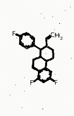 C=CC1CCC2c3cc(F)cc(F)c3CCC2C1c1ccc(F)cc1